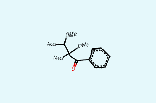 COC(OC(C)=O)C(OC)(OC)C(=O)c1ccccc1